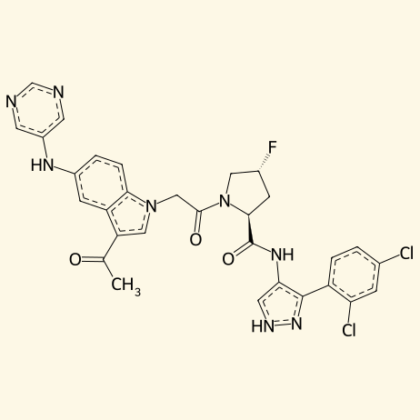 CC(=O)c1cn(CC(=O)N2C[C@H](F)C[C@H]2C(=O)Nc2c[nH]nc2-c2ccc(Cl)cc2Cl)c2ccc(Nc3cncnc3)cc12